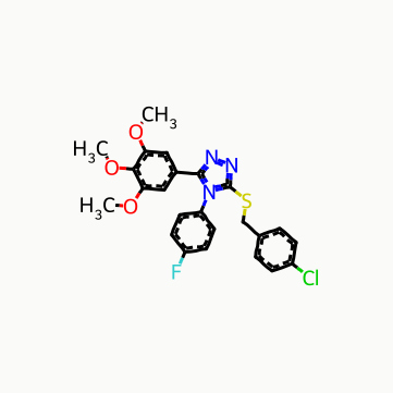 COc1cc(-c2nnc(SCc3ccc(Cl)cc3)n2-c2ccc(F)cc2)cc(OC)c1OC